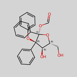 O=CO[C@]1(c2ccccc2)O[C@H](CO)[C@@H](O)[C@]1(Oc1ccccc1)c1ccccc1